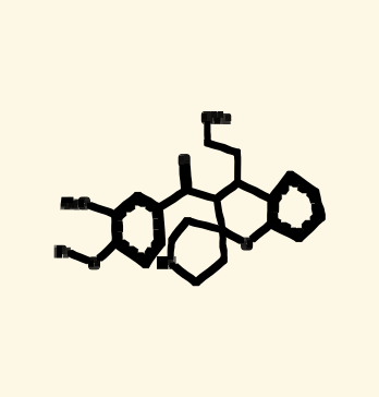 COCCC1c2ccccc2OC2(CCNCC2)C1C(=O)c1ccc(OC(C)C)c(OC)c1